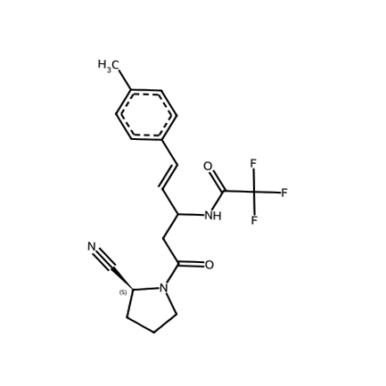 Cc1ccc(C=CC(CC(=O)N2CCC[C@H]2C#N)NC(=O)C(F)(F)F)cc1